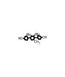 Cc1cc(-c2ccc(C#N)cc2)c(C(C)(C)C)c(C(C)(C)C)c1-c1ccc(C#N)cc1